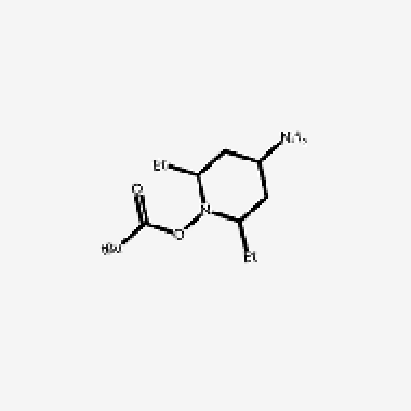 CCC1CC(N)CC(CC)N1OC(=O)C(C)(C)C